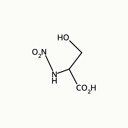 O=C(O)C(CO)N[N+](=O)[O-]